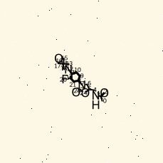 CC(=O)NCC1CN(c2ccc(N3CC4(COC4)C3)c(F)c2)C(=O)O1